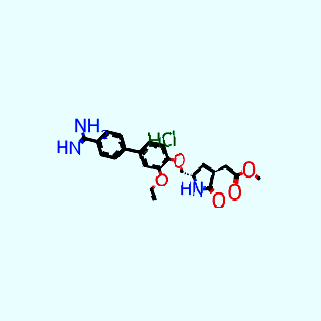 CCOc1cc(-c2ccc(C(=N)N)cc2)ccc1OC[C@@H]1C[C@@H](CC(=O)OC)C(=O)N1.Cl